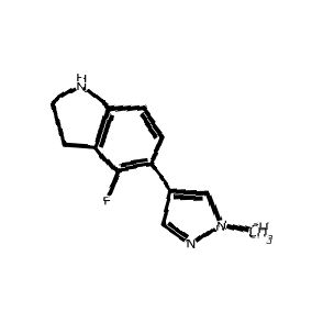 Cn1cc(-c2ccc3c(c2F)CCN3)cn1